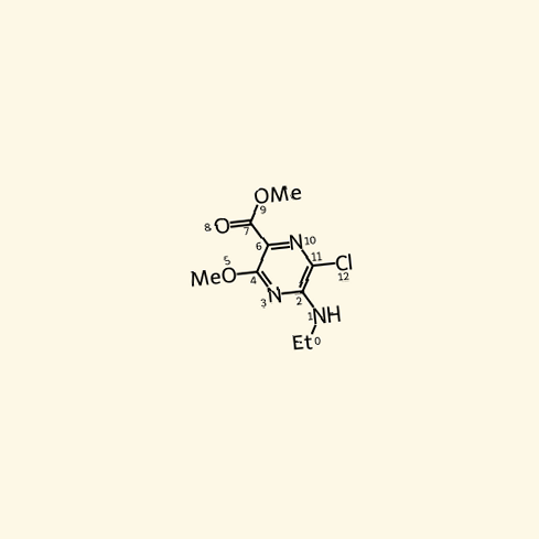 CCNc1nc(OC)c(C(=O)OC)nc1Cl